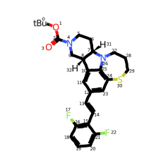 CC(C)(C)OC(=O)N1CC[C@H]2[C@@H](C1)c1cc(/C=C/c3c(F)cccc3F)cc3c1N2CCCS3